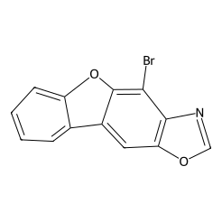 Brc1c2ncoc2cc2c1oc1ccccc12